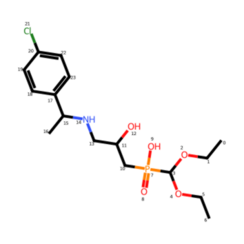 CCOC(OCC)P(=O)(O)CC(O)CNC(C)c1ccc(Cl)cc1